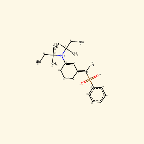 CC(C)(C)CC(C)(C)N(C1=C/C(=C(\C#N)S(=O)(=O)c2ccccc2)CCC1)C(C)(C)CC(C)(C)C